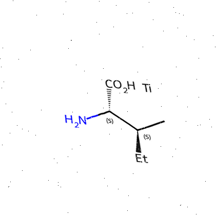 CC[C@H](C)[C@H](N)C(=O)O.[Ti]